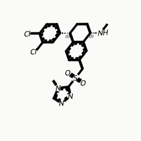 CN[C@H]1CC[C@@H](c2ccc(Cl)c(Cl)c2)c2ccc(CS(=O)(=O)c3nncn3C)cc21